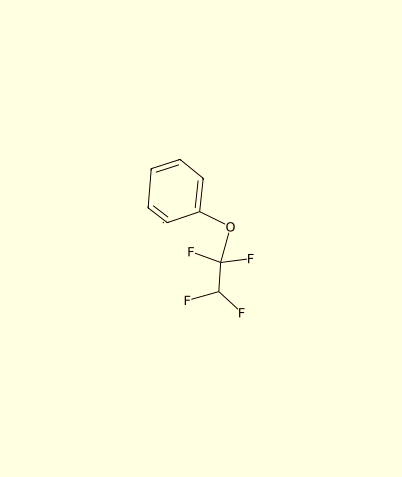 FC(F)C(F)(F)Oc1[c]cccc1